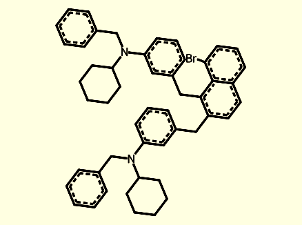 Brc1cccc2ccc(Cc3cccc(N(Cc4ccccc4)C4CCCCC4)c3)c(Cc3cccc(N(Cc4ccccc4)C4CCCCC4)c3)c12